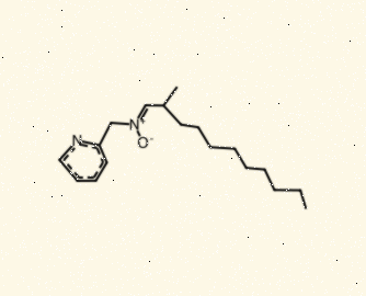 CCCCCCCCCC(C)C=[N+]([O-])Cc1ccccn1